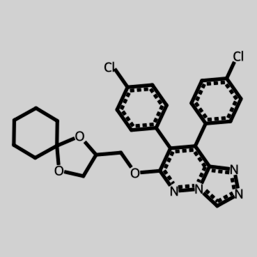 Clc1ccc(-c2c(OCC3COC4(CCCCC4)O3)nn3cnnc3c2-c2ccc(Cl)cc2)cc1